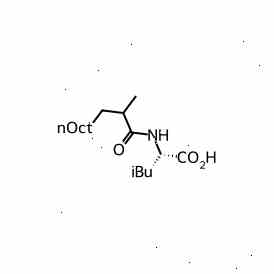 CCCCCCCCCC(C)C(=O)N[C@H](C(=O)O)[C@@H](C)CC